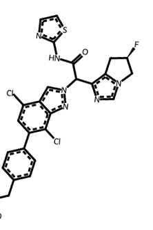 O=CCCc1ccc(-c2cc(Cl)c3cn(C(C(=O)Nc4nccs4)c4ncn5c4C[C@@H](F)C5)nc3c2Cl)cc1